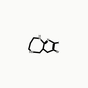 BrC1=C(I)N=C2NCCCNCC2C1